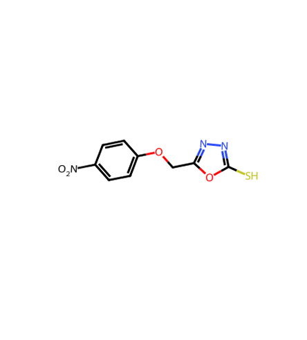 O=[N+]([O-])c1ccc(OCc2nnc(S)o2)cc1